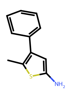 Cc1sc(N)cc1-c1ccccc1